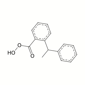 CC(c1ccccc1)c1ccccc1C(=O)OO